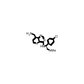 CNC[C@@H](Nc1ncnc2c(CN)ccnc12)c1ccc(Cl)cc1